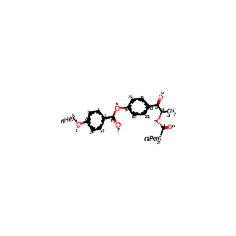 CCCCCCOc1ccc(C(=O)Oc2ccc(C(=O)C(C)OC(=O)CCCCC)cc2)cc1